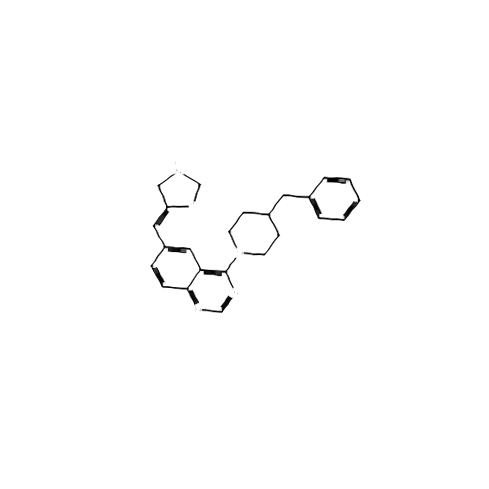 C(=C1CNCS1)c1ccc2ncnc(N3CCC(Cc4ccccc4)CC3)c2c1